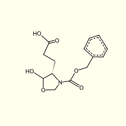 O=C(O)CC[C@H]1C(O)OCN1C(=O)OCc1ccccc1